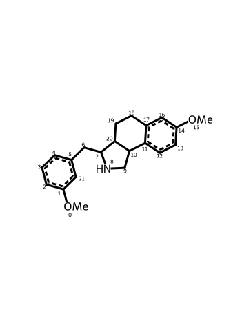 COc1cccc(CC2NCC3c4ccc(OC)cc4CCC23)c1